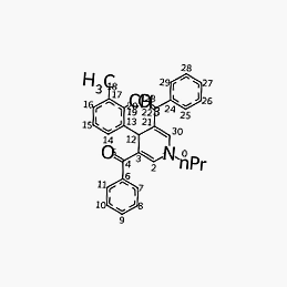 CCCN1C=C(C(=O)c2ccccc2)C(c2cccc(C)c2C)C(C(=O)c2ccccc2)=C1